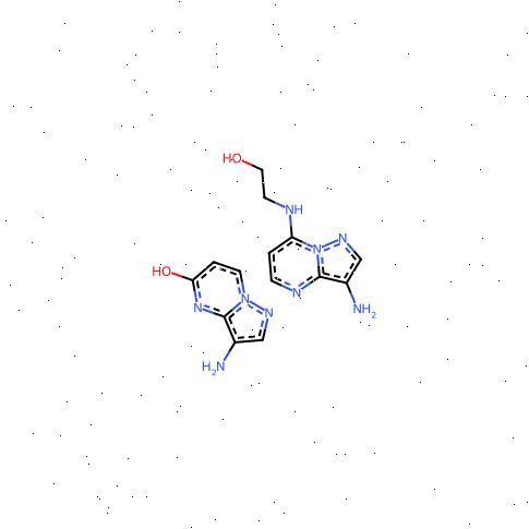 Nc1cnn2c(NCCO)ccnc12.Nc1cnn2ccc(O)nc12